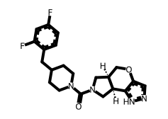 O=C(N1CCC(Cc2ccc(F)cc2F)CC1)N1C[C@H]2COc3cn[nH]c3[C@H]2C1